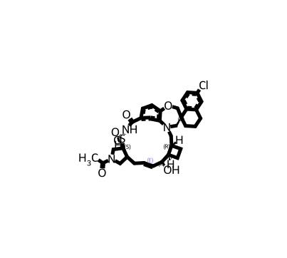 CC(=O)N1CC2C/C=C/[C@H](O)[C@@H]3CC[C@H]3CN3C[C@@]4(CCCc5cc(Cl)ccc54)COc4ccc(cc43)C(=O)NS(=O)(=O)[C@@H]2C1